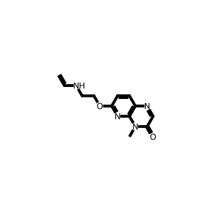 C=CNCCOc1ccc2ncc(=O)n(C)c2n1